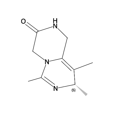 CC1=N[C@@H](C)C(C)=C2CNC(=O)CN12